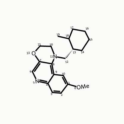 COc1ccc2ncc3c(c2c1)N(C[C@H]1CCCCC1C)CCO3